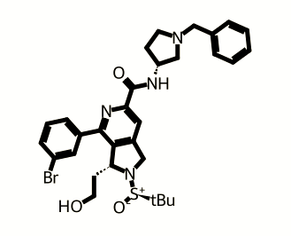 CC(C)(C)[S@@+]([O-])N1Cc2cc(C(=O)N[C@@H]3CCN(Cc4ccccc4)C3)nc(-c3cccc(Br)c3)c2[C@H]1CCO